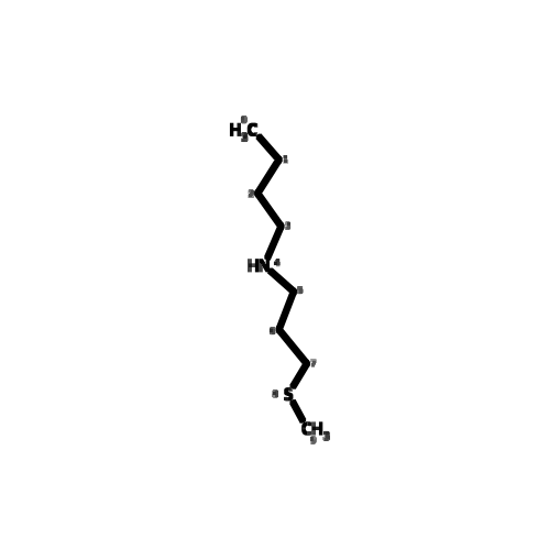 CCCCNCCCSC